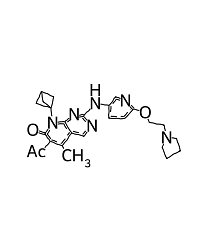 CC(=O)c1c(C)c2cnc(Nc3ccc(OCCN4CCCC4)nc3)nc2n(C23CC(C2)C3)c1=O